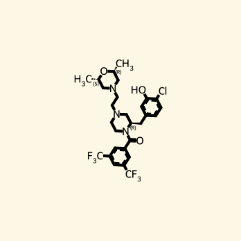 C[C@@H]1CN(CCN2CCN(C(=O)c3cc(C(F)(F)F)cc(C(F)(F)F)c3)[C@H](Cc3ccc(Cl)c(O)c3)C2)C[C@H](C)O1